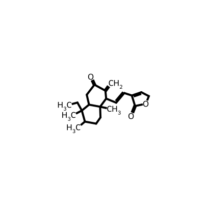 C=C1C(=O)CC2C(C)(CC)C(C)CCC2(C)C1/C=C/C1=CCOC1=O